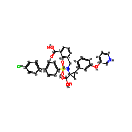 O=C(O)c1cccc(CN(C2(C(=O)O)CC2c2cccc(Oc3cccnc3)c2)S(=O)(=O)c2ccc(-c3ccc(Cl)cc3)cc2)c1